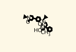 CC(C)(O)C[C@]1(c2ccccc2)CCN([C@H](c2ccc(-c3ccn(C4CC4)c(=O)c3)cc2)C2CC2)C(=O)O1